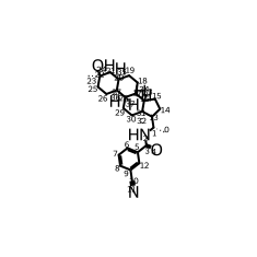 C[C@H](NC(=O)c1cccc(C#N)c1)C1CC[C@H]2[C@@H]3CC[C@@H]4C[C@](C)(O)CC[C@@H]4[C@H]3CC[C@]12C